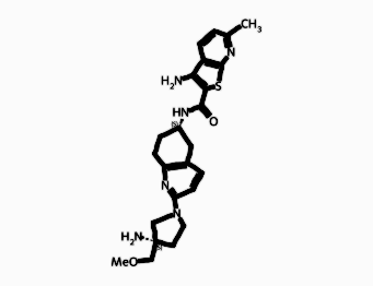 COC[C@]1(N)CCN(c2ccc3c(n2)CC[C@H](NC(=O)c2sc4nc(C)ccc4c2N)C3)C1